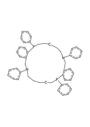 c1ccc(N2CCCCCP(c3ccccc3)c3ccccc3CN(c3ccccc3)CCCCCP(c3ccccc3)c3ccccc3C2)cc1